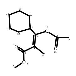 COC(=O)C(C)=C(OC(C)=O)C1CCCCC1